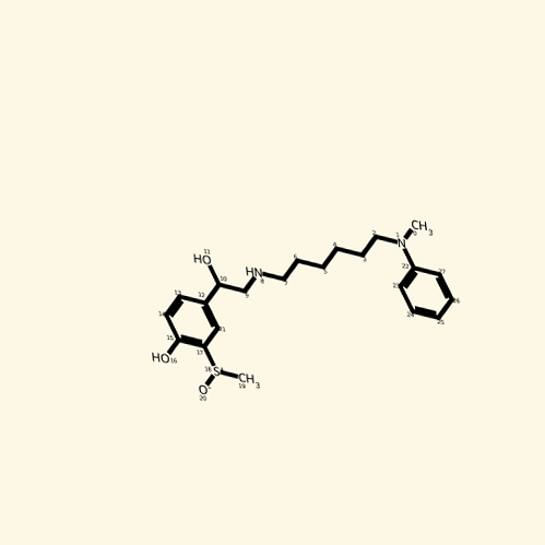 CN(CCCCCCNCC(O)c1ccc(O)c([S+](C)[O-])c1)c1ccccc1